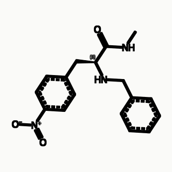 CNC(=O)[C@H](Cc1ccc([N+](=O)[O-])cc1)NCc1ccccc1